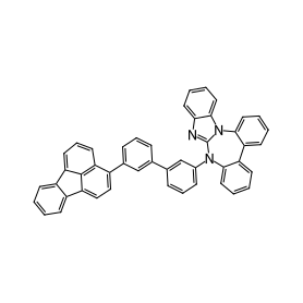 c1cc(-c2cccc(N3c4ccccc4-c4ccccc4-n4c3nc3ccccc34)c2)cc(-c2ccc3c4c(cccc24)-c2ccccc2-3)c1